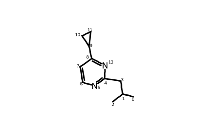 CC(C)Cc1n[c]cc(C2CC2)n1